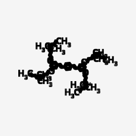 CCCC[N+](C)(C)CCCCOc1cc(/C=C/c2ccc(/C=C/c3cc(OCCCC[N+](C)(C)CCCC)cc(OCCCC[N+](C)(C)CCCC)c3)cc2)cc(OCCCC[N+](C)(C)CCCC)c1